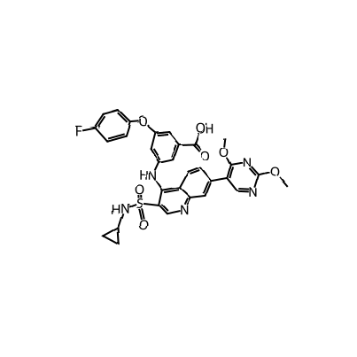 COc1ncc(-c2ccc3c(Nc4cc(Oc5ccc(F)cc5)cc(C(=O)O)c4)c(S(=O)(=O)NC4CC4)cnc3c2)c(OC)n1